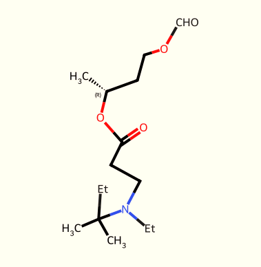 CCN(CCC(=O)O[C@H](C)CCOC=O)C(C)(C)CC